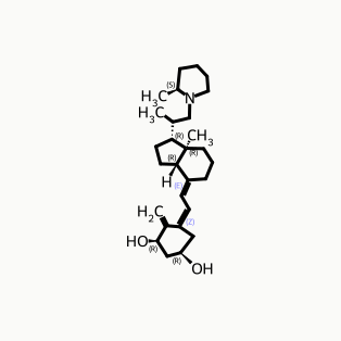 C=C1/C(=C\C=C2/CCC[C@]3(C)[C@@H](C(C)CN4CCCC[C@@H]4C)CC[C@@H]23)C[C@@H](O)C[C@H]1O